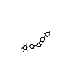 Cc1c(C)c(C)c(-c2ccc(-c3ccc4sc5c(c4c3)C=CC(C3=CCC(C)C=C3)C5)cc2)c(C)c1C